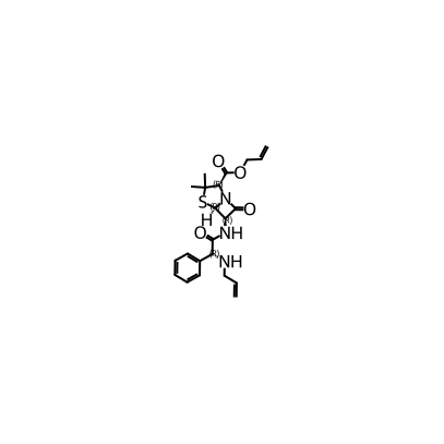 C=CCN[C@@H](C(=O)N[C@@H]1C(=O)N2[C@@H]1SC(C)(C)[C@H]2C(=O)OCC=C)c1ccccc1